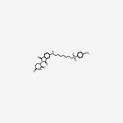 Cc1ccc(S(=O)(=O)OCCCCCCNc2ccc3c(c2)C(=O)N(C2CCC(=O)NC2=O)C3=O)cc1